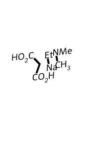 CNC.C[CH2][Na].O=C(O)CC(=O)O